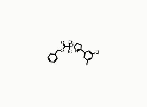 CCC(CC)(C(=O)OCc1ccccc1)[C@H]1CCC(c2cc(F)cc(Cl)c2)=N1